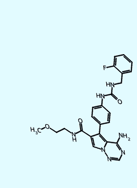 COCCNC(=O)c1cn2ncnc(N)c2c1-c1ccc(NC(=O)NCc2ccccc2F)cc1